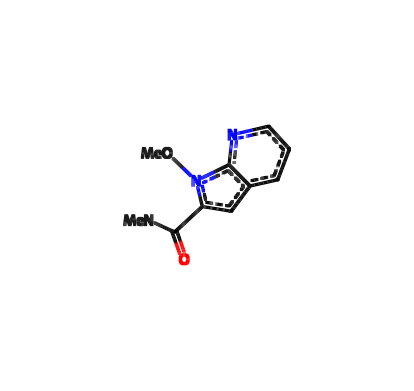 CNC(=O)c1cc2cccnc2n1OC